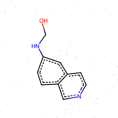 OCNc1ccc2cnccc2c1